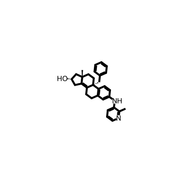 Cc1ncccc1Nc1ccc2c(c1)CCC1=C3C[C@H](O)C[C@]3(C)CC[C@]12Cc1ccccc1